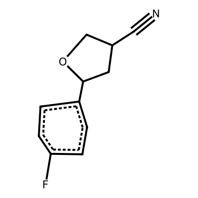 N#CC1COC(c2ccc(F)cc2)C1